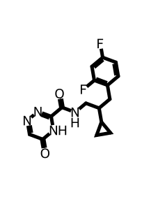 O=C(NCC(Cc1ccc(F)cc1F)C1CC1)c1nncc(=O)[nH]1